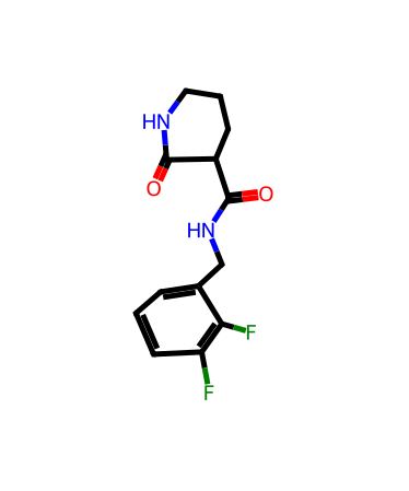 O=C1NCCCC1C(=O)NCc1cccc(F)c1F